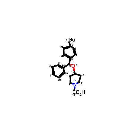 CC(C)(C)c1ccc(C(OC2CCN(C(=O)O)CC2)c2ccccc2)cc1